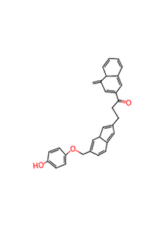 C=C1C=C(C(=O)CCC2=CC3C=C(COc4ccc(O)cc4)C=CC3=C2)C=C2C=CC=CC12